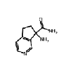 NC(=O)C1(N)CCc2ccncc21